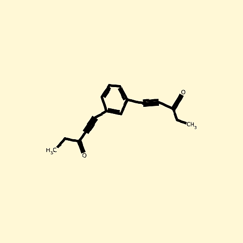 CCC(=O)C#Cc1cccc(C#CC(=O)CC)c1